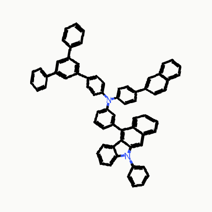 c1ccc(-c2cc(-c3ccccc3)cc(-c3ccc(N(c4ccc(-c5ccc6ccccc6c5)cc4)c4cccc(-c5c6ccccc6cc6c5c5ccccc5n6-c5ccccc5)c4)cc3)c2)cc1